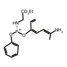 C=C/C(=C\C=C(/C)N)O[P@@](NCC(=O)OCC)Oc1ccccc1